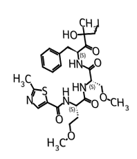 COCC[C@H](NC(=O)c1cnc(C)s1)C(=O)N[C@@H](COC)C(=O)N[C@@H](Cc1ccccc1)C(=O)C(C)(O)CI